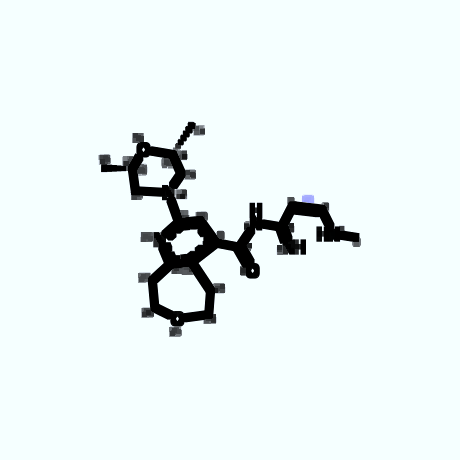 CN/C=C\C(=N)NC(=O)c1cc(N2C[C@@H](C)O[C@@H](C)C2)nc2c1CCOCC2